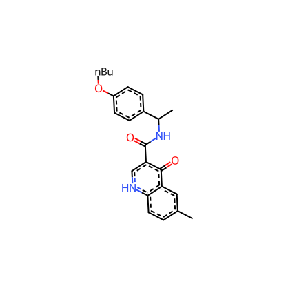 CCCCOc1ccc(C(C)NC(=O)c2c[nH]c3ccc(C)cc3c2=O)cc1